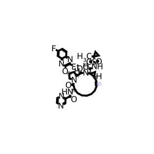 CCc1nc2ccc(F)cc2nc1O[C@@H]1C[C@H]2C(=O)N[C@]3(C(=O)NS(=O)(=O)C4(C)CC4)C[C@H]3/C=C\CCCCC[C@H](NC(=O)c3cnccn3)C(=O)N2C1